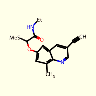 C#Cc1cnc2c(C)cc(OC(SC)C(=O)NCC)cc2c1